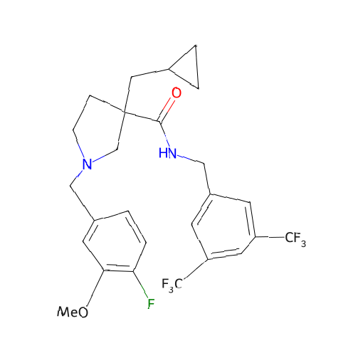 COc1cc(CN2CCC(CC3CC3)(C(=O)NCc3cc(C(F)(F)F)cc(C(F)(F)F)c3)C2)ccc1F